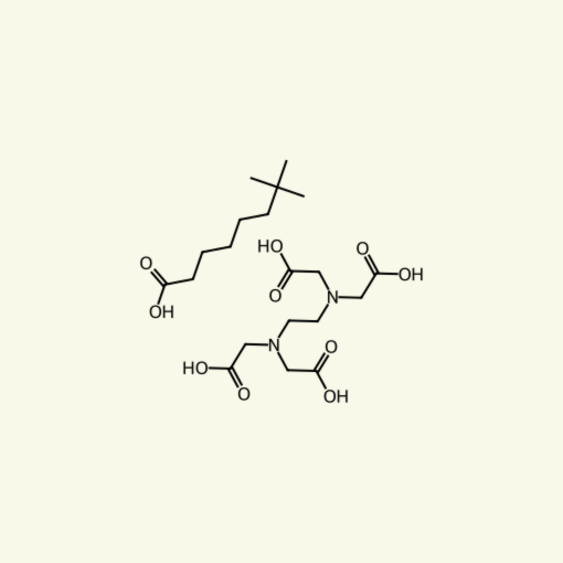 CC(C)(C)CCCCCC(=O)O.O=C(O)CN(CCN(CC(=O)O)CC(=O)O)CC(=O)O